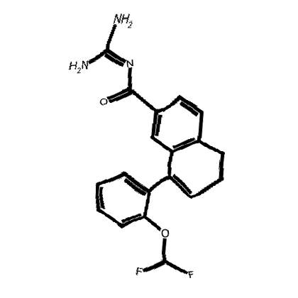 NC(N)=NC(=O)c1ccc2c(c1)C(c1ccccc1OC(F)F)=CCC2